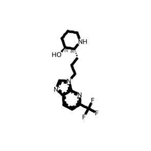 O[C@H]1CCCN[C@@H]1CCCn1cnc2ccc(C(F)(F)F)nc21